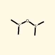 C[S+](C)O[S+](C)C